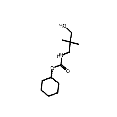 CC(C)(CO)CNC(=O)OC1CCCCC1